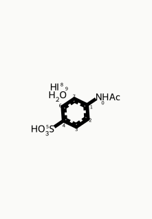 CC(=O)Nc1ccc(S(=O)(=O)O)cc1.I.O